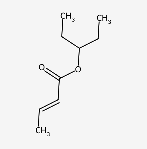 CC=CC(=O)OC(CC)CC